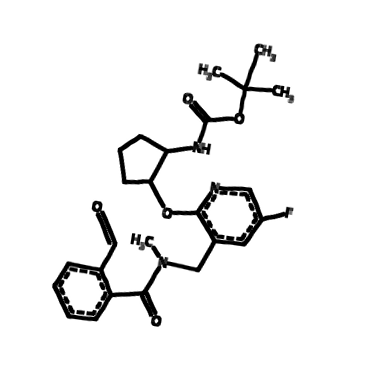 CN(Cc1cc(F)cnc1OC1CCCC1NC(=O)OC(C)(C)C)C(=O)c1ccccc1C=O